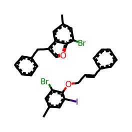 Cc1cc(Br)c(OC/C=C/c2ccccc2)c(I)c1.Cc1cc(Br)c2occ(Cc3ccccc3)c2c1